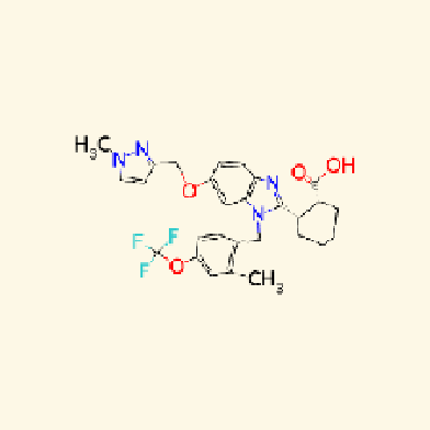 Cc1cc(OC(F)(F)F)ccc1Cn1c([C@H]2CCCC[C@H]2C(=O)O)nc2ccc(OCc3ccn(C)n3)cc21